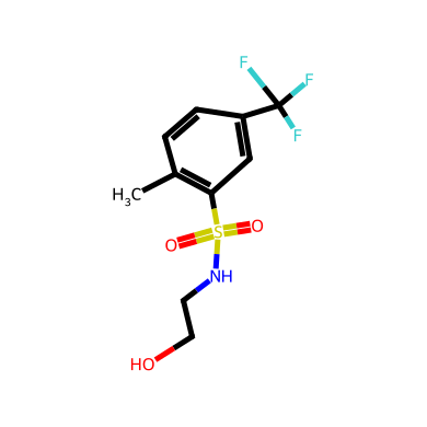 Cc1ccc(C(F)(F)F)cc1S(=O)(=O)NCCO